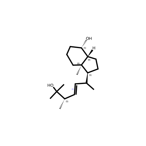 CC(/C=C/[C@H](C)C(C)(C)O)[C@@H]1CC[C@H]2[C@@H](O)CCC[C@]12C